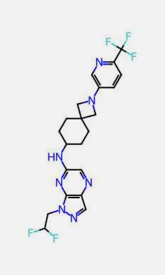 FC(F)Cn1ncc2ncc(NC3CCC4(CC3)CN(c3ccc(C(F)(F)F)nc3)C4)nc21